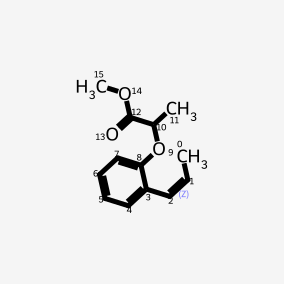 C/C=C\c1ccccc1OC(C)C(=O)OC